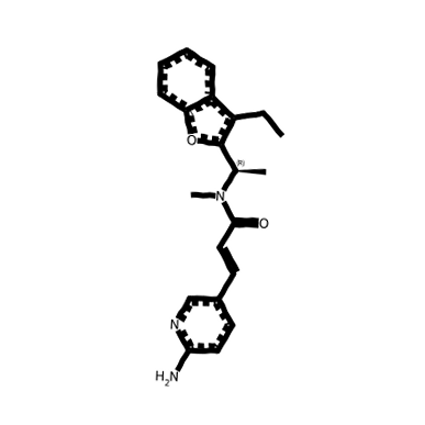 CCc1c([C@@H](C)N(C)C(=O)C=Cc2ccc(N)nc2)oc2ccccc12